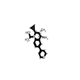 CC(O)N1c2ccc(C3=CCOCC3)cc2[C@H](N)[C@@H](C)C1C1CC1